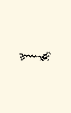 CCOP(=O)(O)CCCCCCCOCn1cnc2c(=O)[nH]c(N)nc21